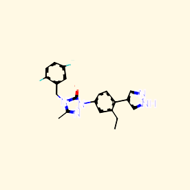 CCc1cc(-n2nc(C)n(Cc3cc(F)ccc3F)c2=O)ccc1-c1cn[nH]c1